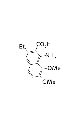 CCc1cc2ccc(OC)c(OC)c2c(N)c1C(=O)O